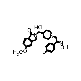 COc1ccc2c(c1)CN(CC1CCN(C/C(=N/O)c3ccc(F)cc3)CC1)C2=O.Cl